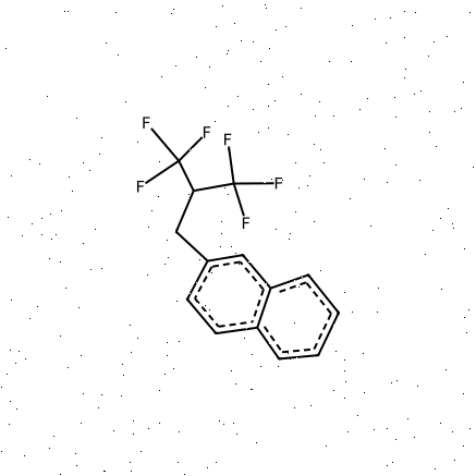 FC(F)(F)C(Cc1ccc2ccccc2c1)C(F)(F)F